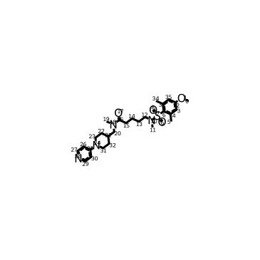 COc1cc(C)c(S(=O)(=O)N(C)CCCCC(=O)N(C)CC2CCN(c3ccncc3)CC2)c(C)c1